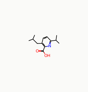 CC(C)Cc1ccc(C(C)C)nc1C(=O)O